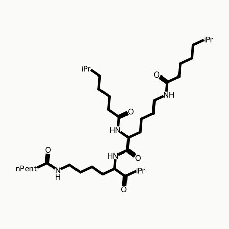 CCCCCC(=O)NCCCCC(NC(=O)C(CCCCNC(=O)CCCCC(C)C)NC(=O)CCCCC(C)C)C(=O)C(C)C